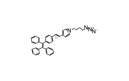 [N-]=[N+]=NCCCC[n+]1ccc(/C=C/c2ccc(C(=C(c3ccccc3)c3ccccc3)c3ccccc3)cc2)cc1